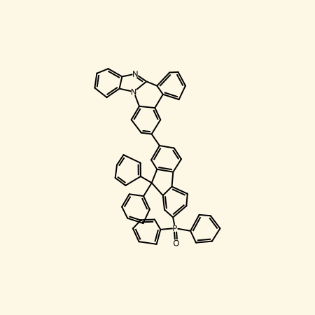 O=P(c1ccccc1)(c1ccccc1)c1ccc2c(c1)C(c1ccccc1)(c1ccccc1)c1cc(-c3ccc4c(c3)c3ccccc3c3nc5ccccc5n43)ccc1-2